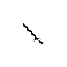 C=COC(=O)CCCCCCC